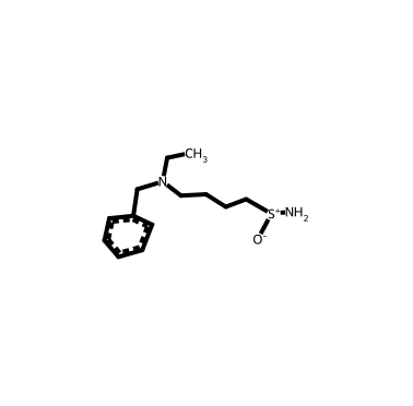 CCN(CCCC[S+](N)[O-])Cc1ccccc1